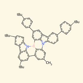 Cc1cc2c3c(c1)-n1c4ccc(-c5ccc(C(C)(C)C)cc5)cc4c4cc(-c5ccc(C(C)(C)C)cc5)cc(c41)B3n1c3ccc(C(C)(C)C)cc3c3cc(C(C)(C)C)cc-2c31